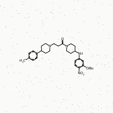 Cc1ccc(C2CCN(CCC(=O)N3CCC(Nc4ccc([N+](=O)[O-])c(OCC(C)C)c4)CC3)CC2)cc1